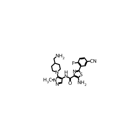 Cn1ncc(NC(=O)c2nc(-c3cc(C#N)ccc3F)sc2N)c1N1CCC(CN)CC1